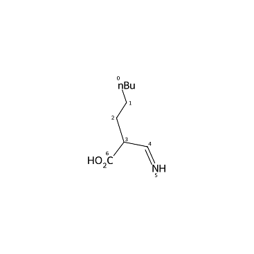 CCCCCCC(C=N)C(=O)O